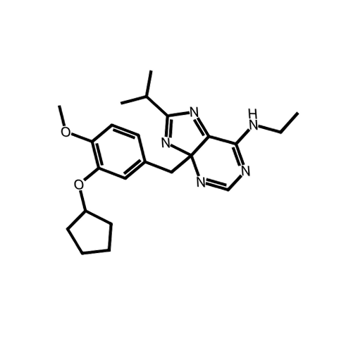 CCNC1=NC=NC2(Cc3ccc(OC)c(OC4CCCC4)c3)N=C(C(C)C)N=C12